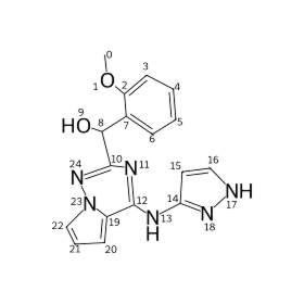 COc1ccccc1C(O)c1nc(Nc2cc[nH]n2)c2cccn2n1